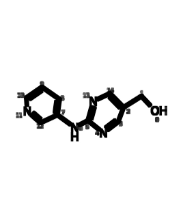 OCc1cnc(Nc2cccnc2)nc1